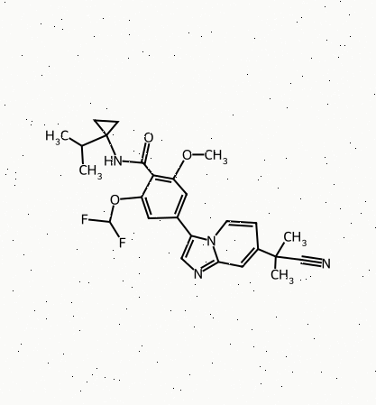 COc1cc(-c2cnc3cc(C(C)(C)C#N)ccn23)cc(OC(F)F)c1C(=O)NC1(C(C)C)CC1